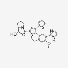 COc1cc2c(cc1-c1ncc[nH]1)-c1c(-c3cccs3)cc(C(=O)N3CCC[C@]3(C)[C@@H](C)O)n1CC2